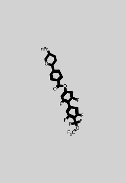 CCCC1CCC(c2ccc(C(=O)Oc3cc(F)c(-c4cc(F)c(C(F)(F)OC(F)(F)F)c(F)c4)c(F)c3)cc2)OC1